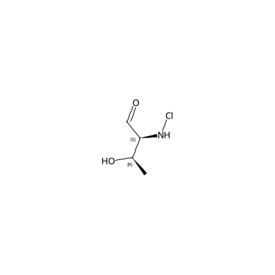 C[C@@H](O)[C@@H](C=O)NCl